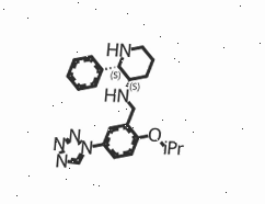 CC(C)Oc1ccc(-n2cnnn2)cc1CN[C@H]1CCCN[C@H]1c1ccccc1